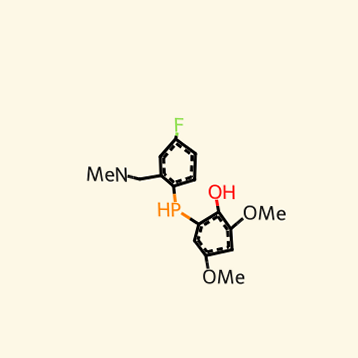 CNCc1cc(F)ccc1Pc1cc(OC)cc(OC)c1O